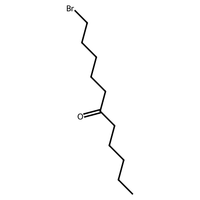 CCCCCC(=O)CCCCCBr